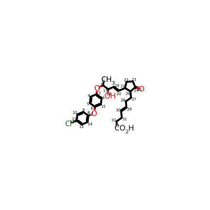 CC(Oc1ccc(Oc2ccc(Cl)cc2)cc1)C(O)C=CC1CCC(=O)C1CCC=CCCC(=O)O